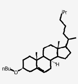 CCCCO[C@H]1CC[C@@]2(C)C(=CC[C@@H]3C4CCC(C(C)CCCC(C)C)[C@@]4(C)CCC32)C1